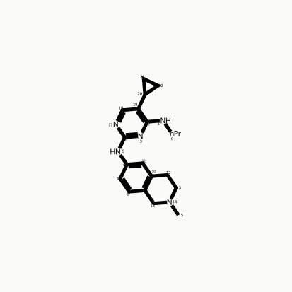 [CH2]CCNc1nc(Nc2ccc3c(c2)CCN(C)C3)ncc1C1CC1